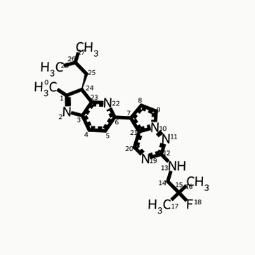 CC1=Nc2ccc(-c3ccn4nc(NCC(C)(C)F)ncc34)nc2[C@@H]1CC(C)C